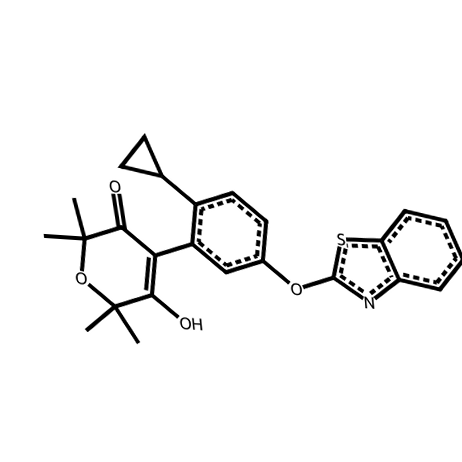 CC1(C)OC(C)(C)C(O)=C(c2cc(Oc3nc4ccccc4s3)ccc2C2CC2)C1=O